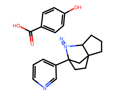 O=C(O)c1ccc(O)cc1.[N-]=[N+]1C2CCCC23CCC1(c1cccnc1)C3